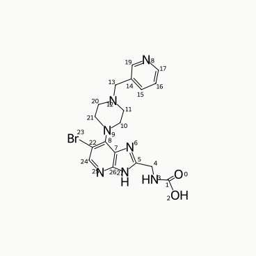 O=C(O)NCc1nc2c(N3CCN(Cc4cccnc4)CC3)c(Br)cnc2[nH]1